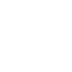 CCC(C)CC(=O)Oc1c(C)occc1=O